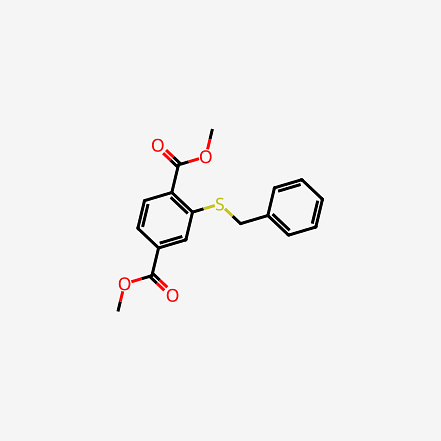 COC(=O)c1ccc(C(=O)OC)c(SCc2ccccc2)c1